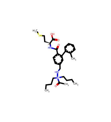 CCCC[N+](CCCC)(NCc1ccc(C(=O)N[C@@H](CCSC)C(=O)O)c(-c2ccccc2C)c1)C(C)=O